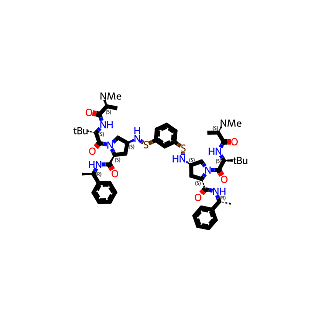 CN[C@@H](C)C(=O)N[C@H](C(=O)N1C[C@@H](NSc2cccc(SN[C@H]3C[C@@H](C(=O)N[C@H](C)c4ccccc4)N(C(=O)[C@@H](NC(=O)[C@H](C)NC)C(C)(C)C)C3)c2)C[C@H]1C(=O)N[C@H](C)c1ccccc1)C(C)(C)C